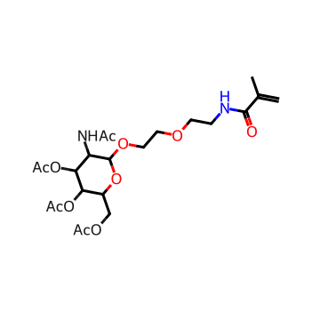 C=C(C)C(=O)NCCOCCOC1OC(COC(C)=O)C(OC(C)=O)C(OC(C)=O)C1NC(C)=O